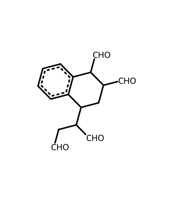 O=CCC(C=O)C1CC(C=O)C(C=O)c2ccccc21